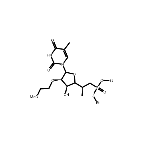 CCOP(=O)(C[C@@H](C)C1OC(n2cc(C)c(=O)[nH]c2=O)[C@H](OCCOC)[C@@H]1O)OCC